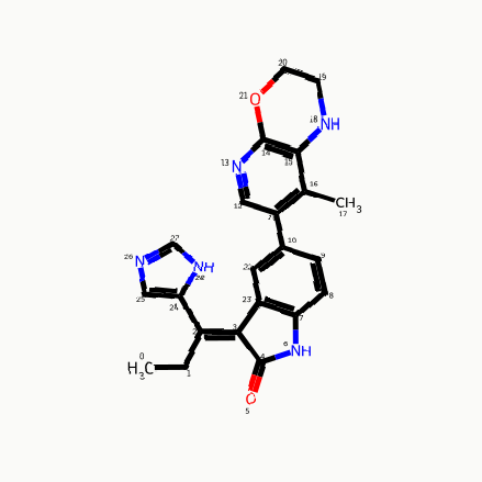 CCC(=C1C(=O)Nc2ccc(-c3cnc4c(c3C)NCCO4)cc21)c1cnc[nH]1